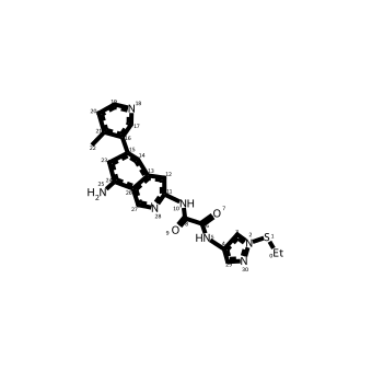 CCSn1cc(NC(=O)C(=O)Nc2cc3cc(-c4cnccc4C)cc(N)c3cn2)cn1